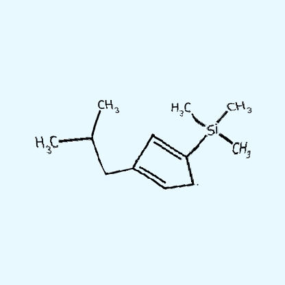 CC(C)CC1=C[CH]C([Si](C)(C)C)=C1